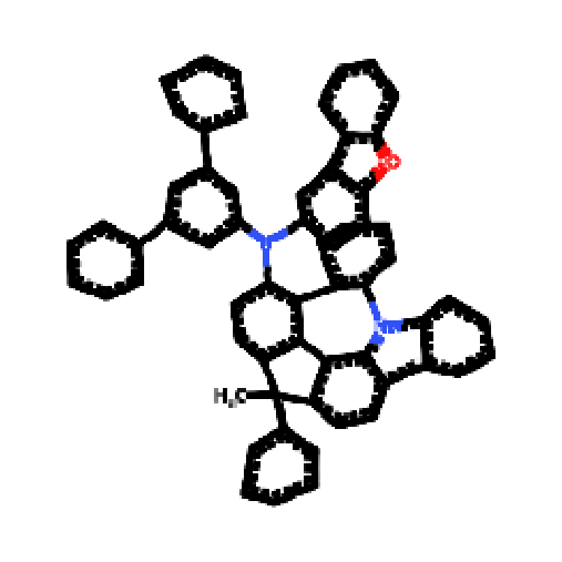 CC1(c2ccccc2)c2ccc(N(c3cc(-c4ccccc4)cc(-c4ccccc4)c3)c3ccc4oc5ccccc5c4c3)c3c2-c2c1ccc1c4ccccc4n(c21)-c1ccccc1-3